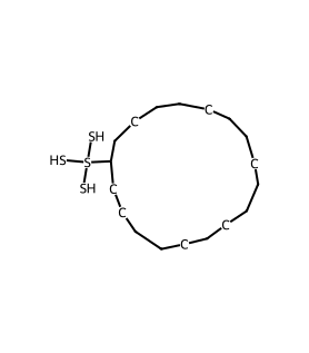 SS(S)(S)C1CCCCCCCCCCCCCCCCC1